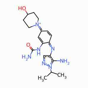 CC(C)n1ncc(/N=C2/C=CC(=[N+]3CCC(O)CC3)C=C2NC(N)=O)c1N